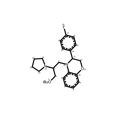 CC(C)COCC(CN1c2ccccc2OCC1c1ccc(F)cc1)N1CCCC1